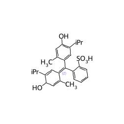 CC1=CC(O)C(C(C)C)=C/C1=C(\c1cc(C(C)C)c(O)cc1C)c1ccccc1S(=O)(=O)O